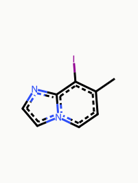 Cc1ccn2ccnc2c1I